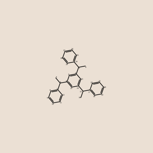 CC(c1[c]c(C(C)c2ccccc2)cc(C(C)c2ccccc2)c1)c1ccccc1